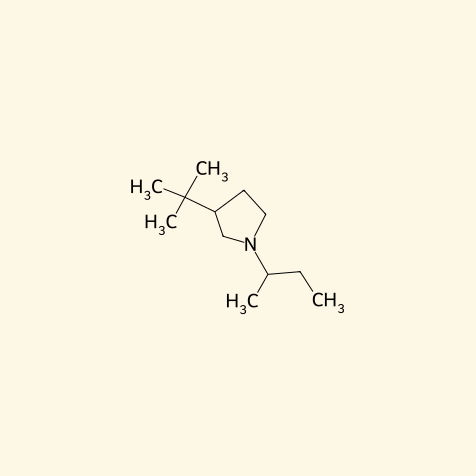 CCC(C)N1CCC(C(C)(C)C)C1